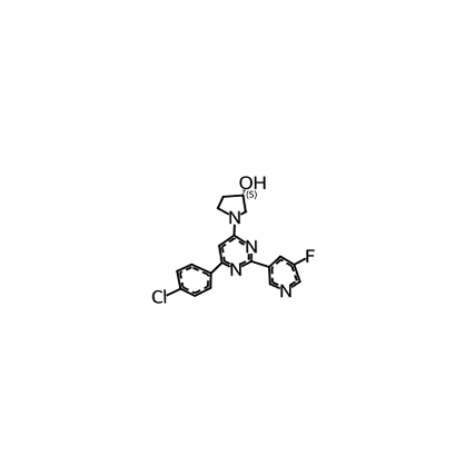 O[C@H]1CCN(c2cc(-c3ccc(Cl)cc3)nc(-c3cncc(F)c3)n2)C1